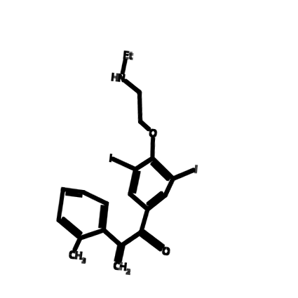 C=C(C(=O)c1cc(I)c(OCCNCC)c(I)c1)c1ccccc1C